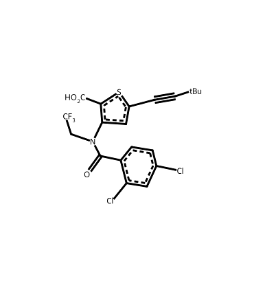 CC(C)(C)C#Cc1cc(N(CC(F)(F)F)C(=O)c2ccc(Cl)cc2Cl)c(C(=O)O)s1